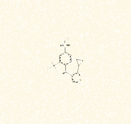 CS(=O)(=O)c1ccc(C(=O)c2cnoc2C2CC2)c(C(F)(F)F)c1